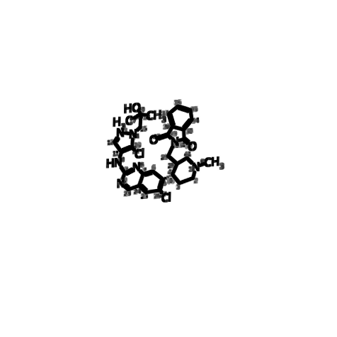 CN1CC[C@H](c2cc3nc(Nc4cnn(CC(C)(C)O)c4Cl)ncc3cc2Cl)C(CN2C(=O)c3ccccc3C2=O)C1